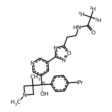 [2H]C([2H])([2H])C(=O)NCCc1nc(-c2cncc([C@@](O)(c3ccc(C(C)C)cc3)C3(C)CN(C)C3)c2)no1